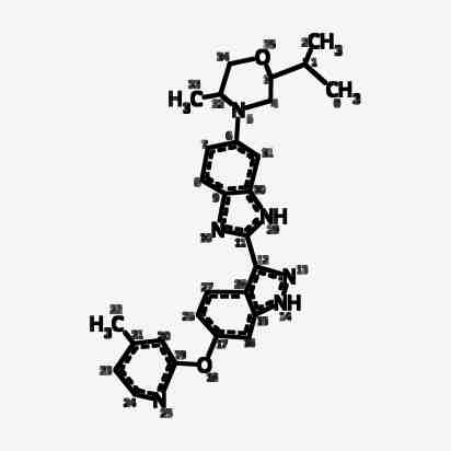 C[C](C)C1CN(c2ccc3nc(-c4n[nH]c5cc(Oc6cc(C)ccn6)ccc45)[nH]c3c2)C(C)CO1